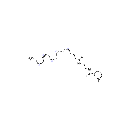 CC/C=C\C/C=C\C/C=C\C/C=C\C/C=C\CCCC(=O)NCCNC(=O)C1CCCNC1